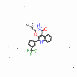 CCCOc1c(-c2cccc(C(F)(F)F)c2)nc2ccccc2c1C(N)=O